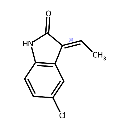 C/C=C1/C(=O)Nc2ccc(Cl)cc21